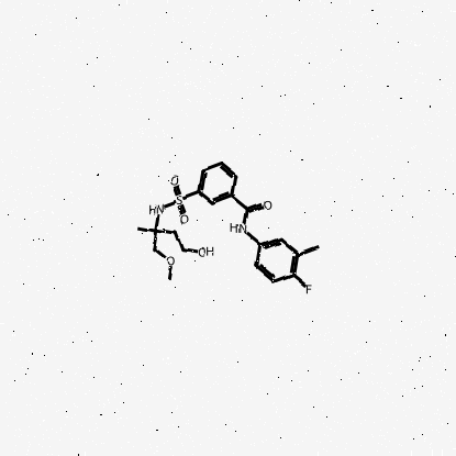 COCC(C)(CCO)NS(=O)(=O)c1cccc(C(=O)Nc2ccc(F)c(C)c2)c1